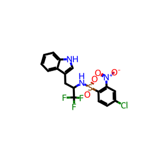 O=[N+]([O-])c1cc(Cl)ccc1S(=O)(=O)NC(Cc1c[nH]c2ccccc12)C(F)(F)F